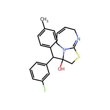 Cc1ccc(C(c2cccc(F)c2)C2(O)CSC3=NCC=CCN32)cc1